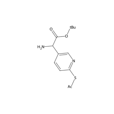 CC(=O)Sc1ccc(C(N)C(=O)OC(C)(C)C)cn1